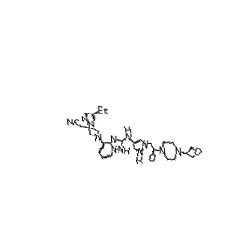 CCc1cnn(C2(CC#N)CN(C3=CC=CN4NC(NC5=CN(CC(=O)N6CCN(C7COC7)CC6)NC5)N=C34)C2)c1